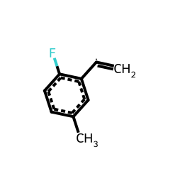 C=[C]c1cc(C)ccc1F